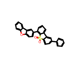 O=S1(=O)c2ccc(-c3ccccc3)cc2-c2cccc(-c3ccc4oc5ccccc5c4c3)c21